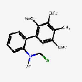 COc1cc(-c2ccccc2N(CBr)C(C)=O)c(OC)c(OC)c1C